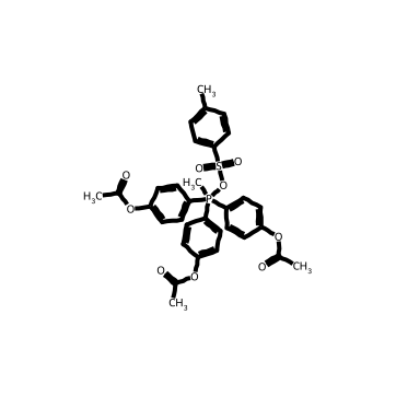 CC(=O)Oc1ccc(P(C)(OS(=O)(=O)c2ccc(C)cc2)(c2ccc(OC(C)=O)cc2)c2ccc(OC(C)=O)cc2)cc1